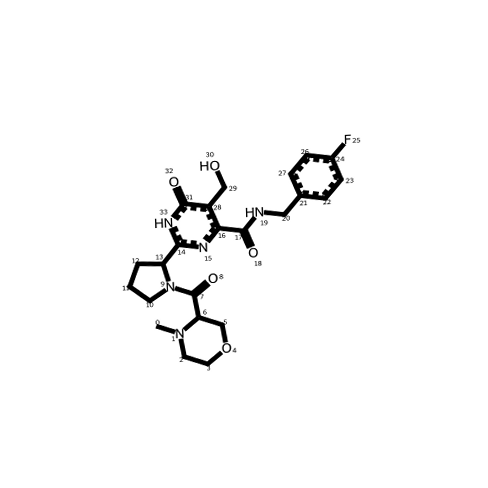 CN1CCOCC1C(=O)N1CCCC1c1nc(C(=O)NCc2ccc(F)cc2)c(CO)c(=O)[nH]1